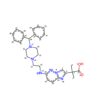 CC(C)(C(=O)O)c1cn2nc(NCCN3CCN(C(c4ccccc4)c4ccccc4)CC3)ccc2n1